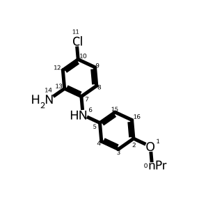 CCCOc1ccc(Nc2ccc(Cl)cc2N)cc1